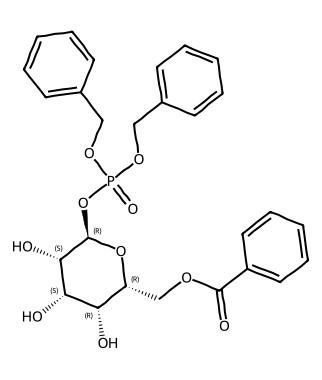 O=C(OC[C@H]1O[C@H](OP(=O)(OCc2ccccc2)OCc2ccccc2)[C@@H](O)[C@@H](O)[C@H]1O)c1ccccc1